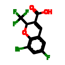 O=C(O)C1=Cc2cc(F)cc(Br)c2OC1C(F)(F)F